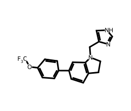 FC(F)(F)Oc1ccc(-c2ccc3c(c2)N(Cc2c[nH]cn2)CC3)cc1